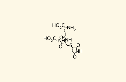 N[C@@H](CCC(=O)N[C@@H](CSC1=CC(=O)NC1=O)C(=O)NCC(=O)O)C(=O)O